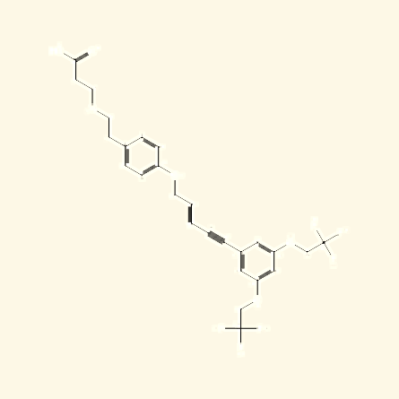 O=C(O)CCOCCc1ccc(OC/C=C/C#Cc2cc(OCC(F)(F)F)cc(OCC(F)(F)F)c2)cc1